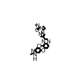 Cc1nc2ccc(Oc3ccc4ncc(-c5cnn(C6CCN6C(=O)N(C)C)c5)nc4c3Cl)cc2[nH]1